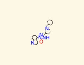 O=c1[nH]c(C2CCCN(CC3CCCCC3)C2)nn1-c1cccc2ncccc12